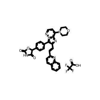 O=C(O)C(F)(F)F.O=C1NC(=O)C(c2ccc(-c3c(C=Cc4ccc5ccccc5n4)nc4c(N5CCOCC5)ccnn34)cc2)O1